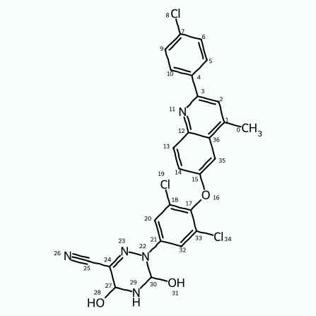 Cc1cc(-c2ccc(Cl)cc2)nc2ccc(Oc3c(Cl)cc(N4N=C(C#N)C(O)NC4O)cc3Cl)cc12